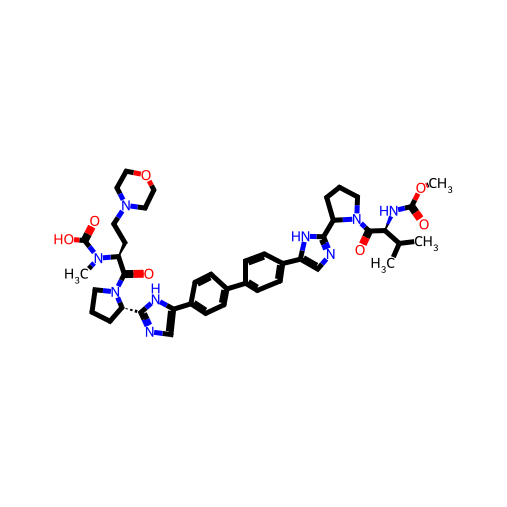 COC(=O)N[C@H](C(=O)N1CCCC1c1ncc(-c2ccc(-c3ccc(-c4cnc([C@@H]5CCCN5C(=O)[C@H](CCN5CCOCC5)N(C)C(=O)O)[nH]4)cc3)cc2)[nH]1)C(C)C